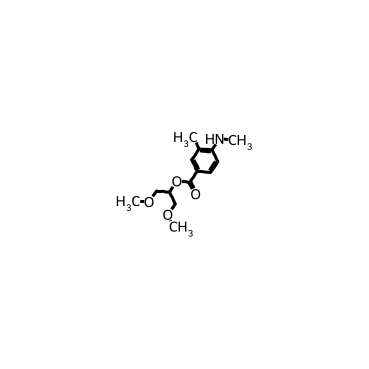 CNc1ccc(C(=O)OC(COC)COC)cc1C